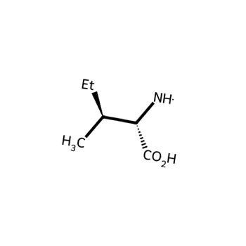 CC[C@H](C)[C@H]([NH])C(=O)O